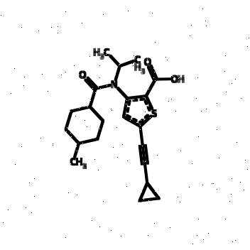 CC1CCC(C(=O)N(c2cc(C#CC3CC3)sc2C(=O)O)C(C)C)CC1